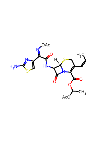 C/C=C\C1=C(C(=O)OC(C)OC(C)=O)N2C(=O)C(NC(=O)/C(=N\OC(C)=O)c3csc(N)n3)[C@H]2SC1